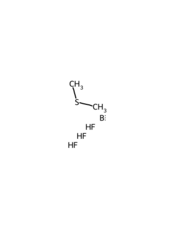 CSC.F.F.F.[B]